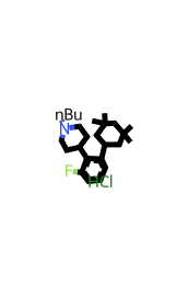 CCCCN1CCC(c2c(F)cccc2C2CC(C)(C)CC(C)(C)C2)CC1.Cl